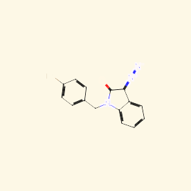 [N-]=[N+]=C1C(=O)N(Cc2ccc(Br)cc2)c2ccccc21